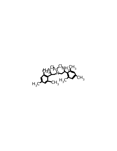 Cc1cc(C)c(C(N)C[N](CC(N)c2c(C)cc(C)cc2C)[Pd]([Cl])[Cl])c(C)c1